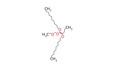 CCCCCCCCCCOC(CCC)=C(OCCCCCCCCCC)OCOCC